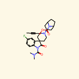 CC#CCOC(=O)N1C2CCC1CC(N1CCC3(CC1)C(=O)N(C(=O)N(C)C)c1ccc(F)cc13)C2